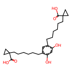 O=C(O)C1(CCCCCCc2cc(CCCCCCC3(C(=O)O)CC3)c(O)cc2O)CC1